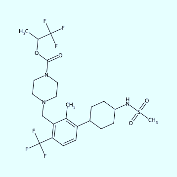 Cc1c(C2CCC(NS(C)(=O)=O)CC2)ccc(C(F)(F)F)c1CN1CCN(C(=O)OC(C)C(F)(F)F)CC1